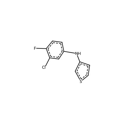 Fc1ccc(Nc2ccsc2)cc1Cl